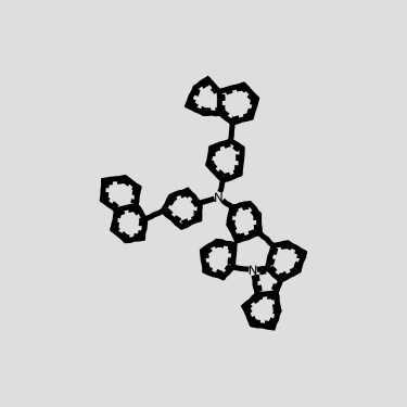 c1ccc(-n2c3ccccc3c3cccc(-c4ccc(N(c5ccc(-c6cccc7ccccc67)cc5)c5ccc(-c6cccc7ccccc67)cc5)cc4)c32)cc1